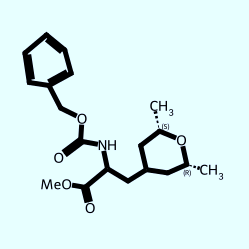 COC(=O)C(CC1C[C@@H](C)O[C@@H](C)C1)NC(=O)OCc1ccccc1